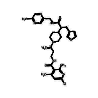 Cc1cnc(CNC(=O)N(Cc2ccsc2)C2CCN([C@H](C)CCNC(=O)c3c(C)cc(Cl)nc3C)CC2)cn1